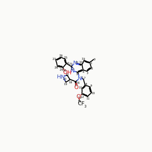 Cc1ccc2c(N(Cc3cccc(OC(F)(F)F)c3)C(=O)C3CNC3)nc(-c3ccccc3O)nc2c1